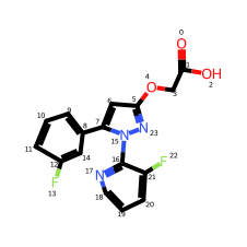 O=C(O)COc1cc(-c2cccc(F)c2)n(-c2ncccc2F)n1